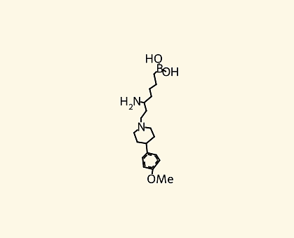 COc1ccc(C2CCN(CCC(N)CCCCB(O)O)CC2)cc1